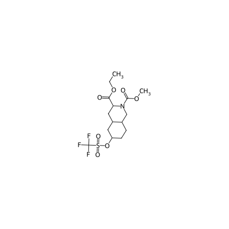 CCOC(=O)C1CC2CC(OS(=O)(=O)C(F)(F)F)CCC2CN1C(=O)OC